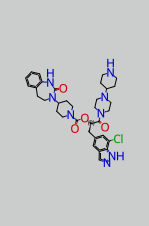 O=C(O[C@H](Cc1cc(Cl)c2[nH]ncc2c1)C(=O)N1CCN(C2CCNCC2)CC1)N1CCC(N2CCc3ccccc3NC2=O)CC1